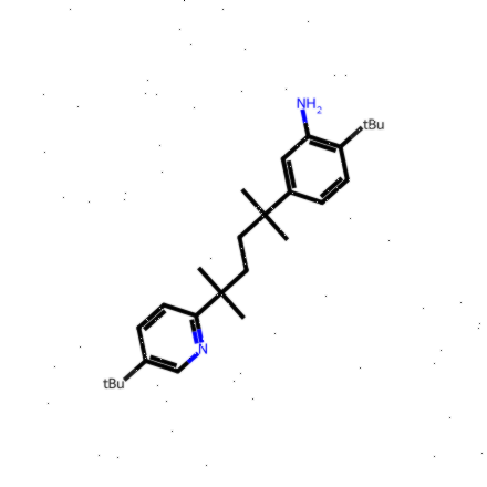 CC(C)(C)c1ccc(C(C)(C)CCC(C)(C)c2ccc(C(C)(C)C)c(N)c2)nc1